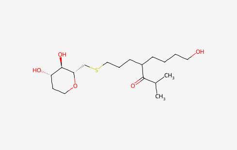 CC(C)C(=O)C(CCCCO)CCCSC[C@@H]1OCC[C@H](O)[C@H]1O